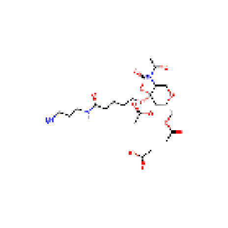 CC(=O)N[C@H]1CO[C@H](COC(C)=O)[C@H](OC(C)=O)C1(OCCCCC(=O)NCCCN)OC(C)=O.CC(=O)O